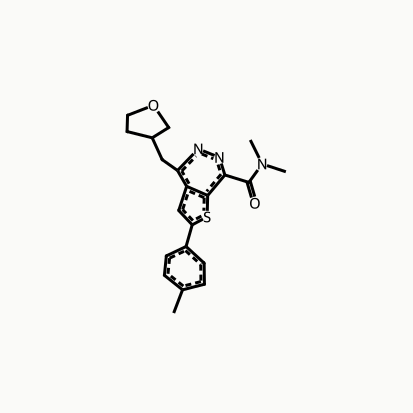 Cc1ccc(-c2cc3c(CC4CCOC4)nnc(C(=O)N(C)C)c3s2)cc1